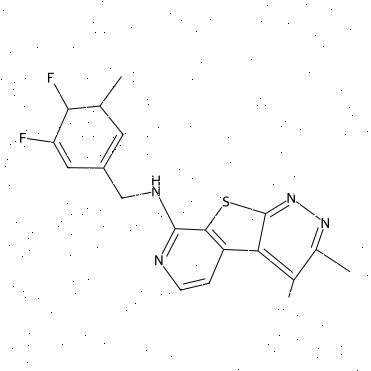 Cc1nnc2sc3c(NCC4=CC(C)C(F)C(F)=C4)nccc3c2c1C